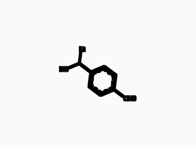 CCC(O)c1ccc(C=O)cc1